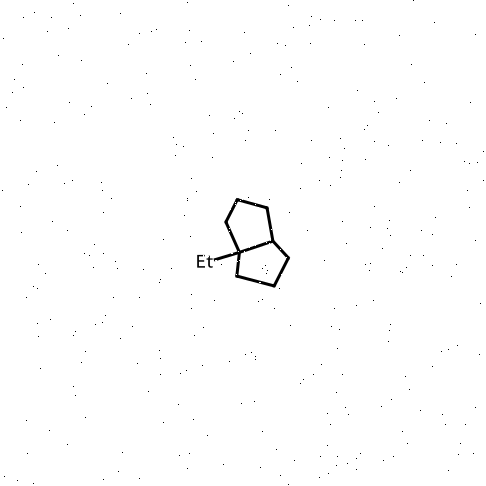 CCC12CCCC1CCC2